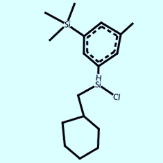 Cc1cc([SiH](Cl)CC2CCCCC2)cc([Si](C)(C)C)c1